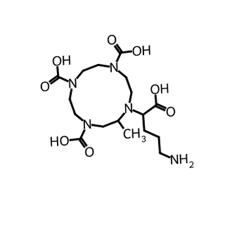 CC1CN(C(=O)O)CCN(C(=O)O)CCN(C(=O)O)CCN1C(CCCN)C(=O)O